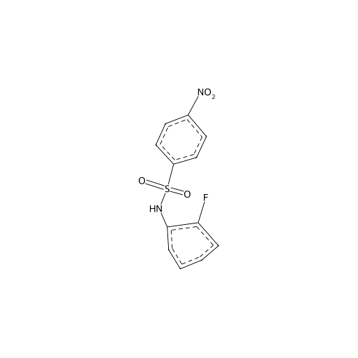 O=[N+]([O-])c1ccc(S(=O)(=O)Nc2ccccc2F)cc1